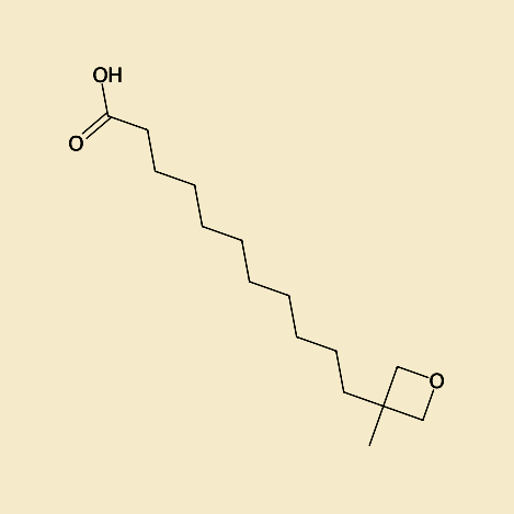 CC1(CCCCCCCCCCC(=O)O)COC1